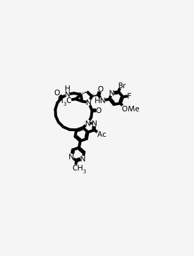 COc1cc(NC(=O)[C@@H]2C[C@]34CNC(=O)CCCCCCc5cc(-c6cnc(C)nc6)cc6c(C(C)=O)nn(c56)CC(=O)N2C3C4C)nc(Br)c1F